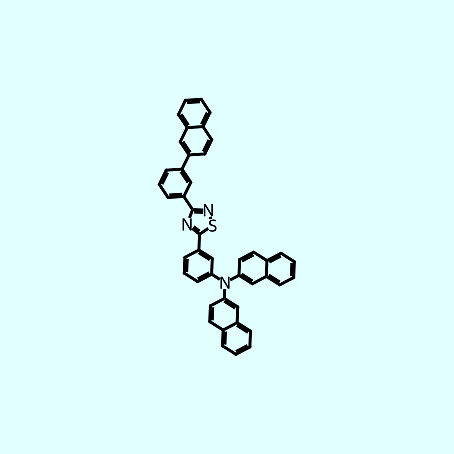 c1cc(-c2ccc3ccccc3c2)cc(-c2nsc(-c3cccc(N(c4ccc5ccccc5c4)c4ccc5ccccc5c4)c3)n2)c1